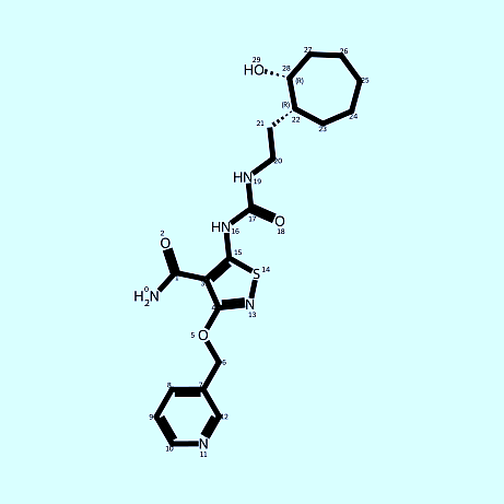 NC(=O)c1c(OCc2cccnc2)nsc1NC(=O)NCC[C@H]1CCCCC[C@H]1O